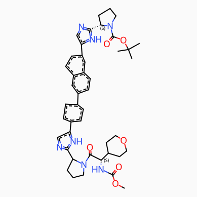 COC(=O)N[C@H](C(=O)N1CCCC1c1ncc(-c2ccc(-c3ccc4cc(-c5cnc([C@@H]6CCCN6C(=O)OC(C)(C)C)[nH]5)ccc4c3)cc2)[nH]1)C1CCOCC1